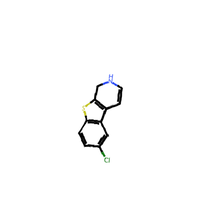 Clc1ccc2sc3c(c2c1)C=CNC3